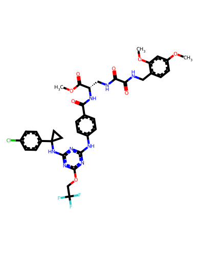 COC(=O)[C@H](CNC(=O)C(=O)NCc1ccc(OC)cc1OC)NC(=O)c1ccc(Nc2nc(NC3(c4ccc(Cl)cc4)CC3)nc(OCC(F)(F)F)n2)cc1